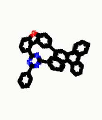 c1ccc(-c2nc(-c3ccccc3)nc(-c3cccc4oc5ccc(-c6ccc7c8ccccc8c8ccccc8c7c6)cc5c34)n2)cc1